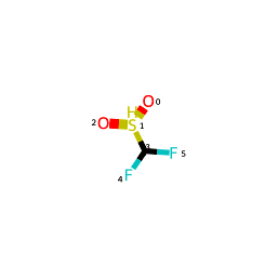 O=[SH](=O)[C](F)F